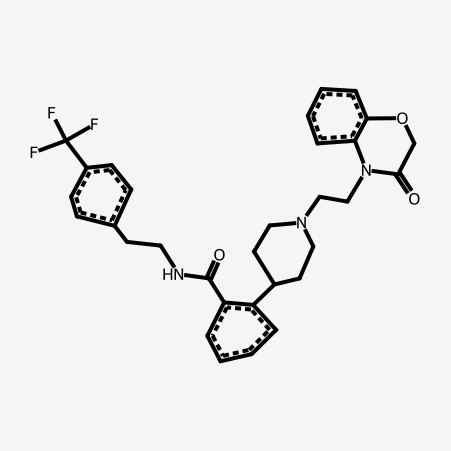 O=C(NCCc1ccc(C(F)(F)F)cc1)c1ccccc1C1CCN(CCN2C(=O)COc3ccccc32)CC1